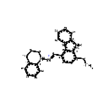 CCc1ccc(/C=N/N2CCCc3ccccc32)c2c1[nH]c1ccccc12